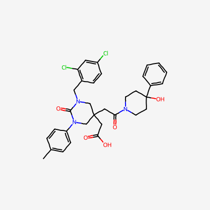 Cc1ccc(N2CC(CC(=O)O)(CC(=O)N3CCC(O)(c4ccccc4)CC3)CN(Cc3ccc(Cl)cc3Cl)C2=O)cc1